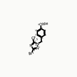 COc1ccc(Cn2nc(Br)nc2C(F)(F)F)cc1